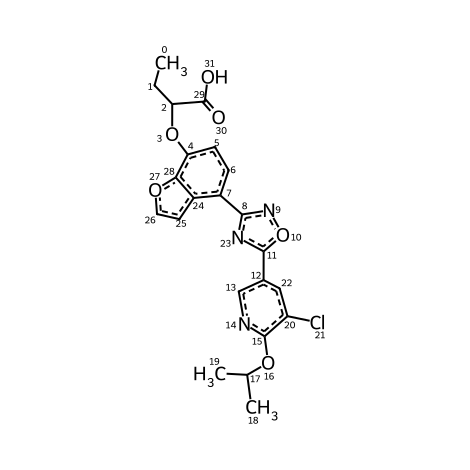 CCC(Oc1ccc(-c2noc(-c3cnc(OC(C)C)c(Cl)c3)n2)c2ccoc12)C(=O)O